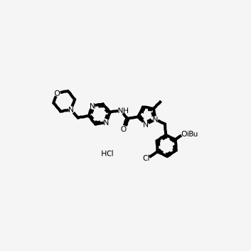 Cc1cc(C(=O)Nc2cnc(CN3CCOCC3)cn2)nn1Cc1cc(Cl)ccc1OCC(C)C.Cl